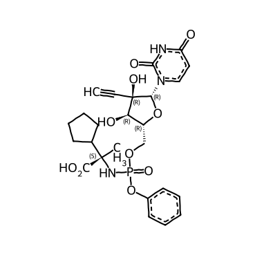 C#C[C@@]1(O)[C@H](O)[C@@H](COP(=O)(N[C@](C)(C(=O)O)C2CCCC2)Oc2ccccc2)O[C@H]1n1ccc(=O)[nH]c1=O